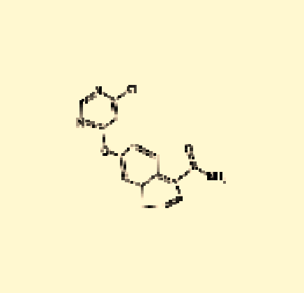 NC(=O)c1cccc2cc(Oc3cc(Cl)ncn3)ccc12